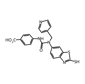 O=C(O)c1ccc(NC(=O)N(Cc2ccncc2)c2ccc3nc(S)sc3c2)cc1